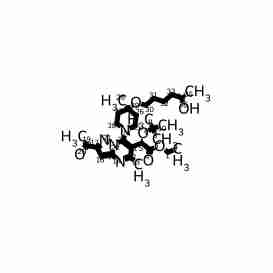 CCOC(=O)[C@@H](OC(C)(C)C)c1c(C)nc2cc(C(C)=O)nn2c1N1CCC(C)(OCCCC[C@@H](C)O)CC1